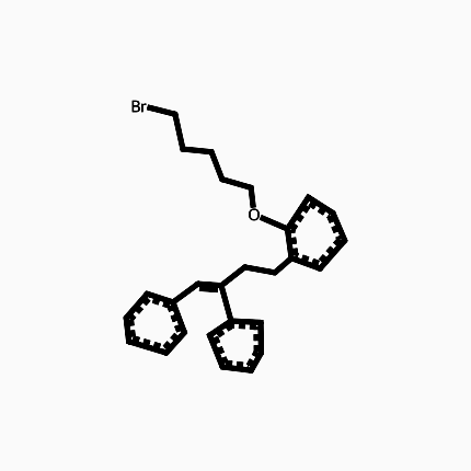 BrCCCCCOc1ccccc1CC/C(=C/c1ccccc1)c1ccccc1